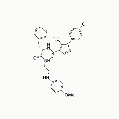 COc1ccc(NCCNC(=O)[C@H](Cc2ccccc2)NC(=O)c2cnn(-c3ccc(Cl)cc3)c2C(F)(F)F)cc1